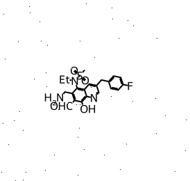 CCN(c1c(CN)c(C=O)c(O)c2ncc(Cc3ccc(F)cc3)cc12)S(C)(=O)=O